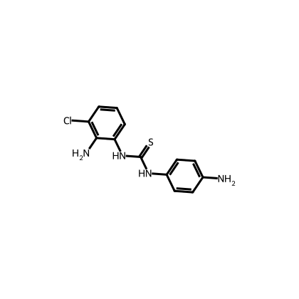 Nc1ccc(NC(=S)Nc2cccc(Cl)c2N)cc1